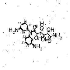 NC(=O)[C@@H](O)[C@@H](O)[C@H](O)[C@@H](O)C(=O)N(c1cccc(N)c1)c1cccc(N)c1